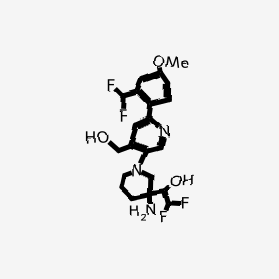 COc1ccc(-c2cc(CO)c(N3CCCC(N)(C(O)C(F)F)C3)cn2)c(C(F)F)c1